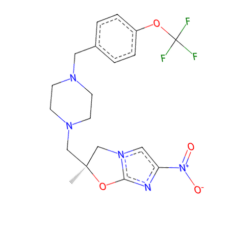 C[C@]1(CN2CCN(Cc3ccc(OC(F)(F)F)cc3)CC2)Cn2cc([N+](=O)[O-])nc2O1